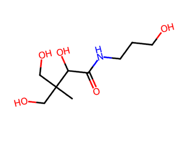 CC(CO)(CO)C(O)C(=O)NCCCO